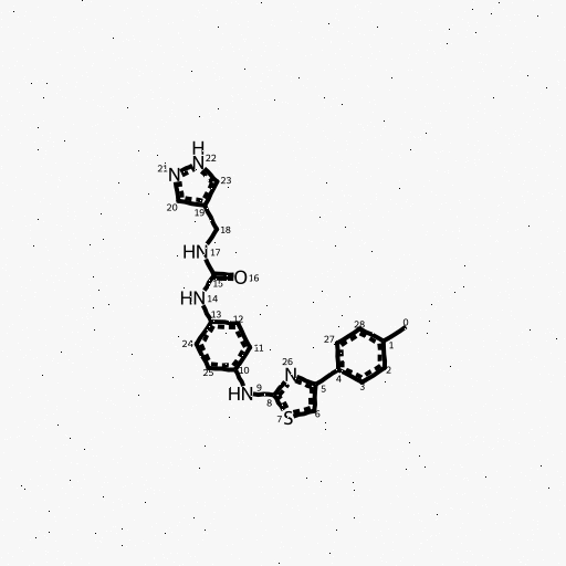 Cc1ccc(-c2csc(Nc3ccc(NC(=O)NCc4cn[nH]c4)cc3)n2)cc1